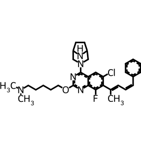 C/C(=C\C=C/c1ccccc1)c1c(Cl)cc2c(N3CC4CCC(C3)N4)nc(OCCCCCN(C)C)nc2c1F